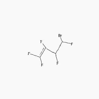 FC(F)=C(F)C(F)C(F)Br